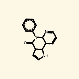 O=C1C2C=CNC2C2C=CC=NC2N1c1ccccc1